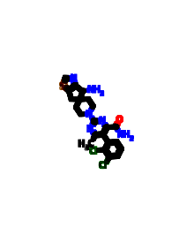 Cc1nc(N2CCC3(CC2)Cc2scnc2[C@H]3N)nc(C(N)=O)c1-c1cccc(Cl)c1Cl